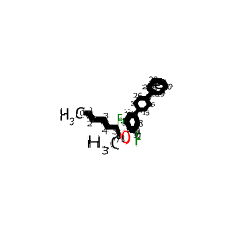 CCCCCCC(C)Oc1c(F)cc(C2CCC(C34CCC(CC3)CC4)CC2)cc1F